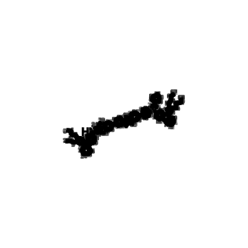 CCCCCCC1(CCCCC)c2ccccc2-c2ccc(NC(C)(C)C(CC)(CC)c3ccc(-c4ccc(C(C)(c5ccc(-c6ccc(N(c7ccc8c(c7)C(CCCCCC)(CCCCCC)c7ccccc7-8)C(C)(C)c7ccccc7)cc6)cc5)C(C)C)cc4)cc3)cc21